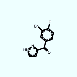 O=C(c1ccc(F)c(Br)c1)c1cc[nH]n1